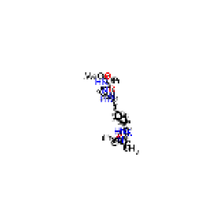 COC(=O)N[C@H](C(=O)N1CCC[C@H]1c1ncc(C#Cc2ccc3cc(-c4cnc([C@@H]5C=C(C)CN5C(=O)[C@@H](C)C(C)C)[nH]4)ccc3c2)[nH]1)C(C)C